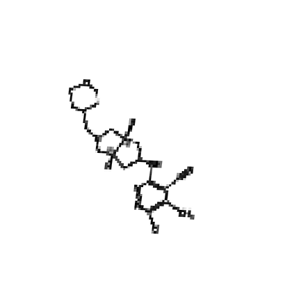 Cc1c(Cl)nnc(NC2C[C@@H]3CN(CC4CCOCC4)C[C@@H]3C2)c1C#N